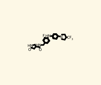 O=C1CC(C(=O)NCc2ccc(Nc3ccc(N4CCC(C(F)(F)F)CC4)cc3)c(F)c2)CN1